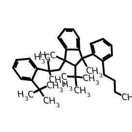 CCCCc1ccccc1C1(C)c2ccccc2C(C)(CC(C)(C)c2ccccc2C(C)(C)C)C1C(C)(C)C